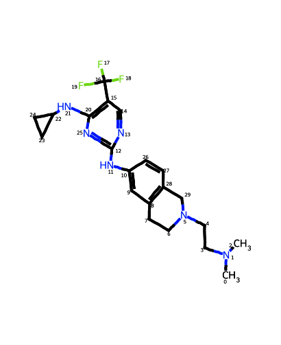 CN(C)CCN1CCc2cc(Nc3ncc(C(F)(F)F)c(NC4CC4)n3)ccc2C1